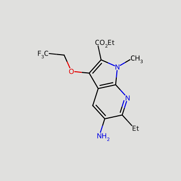 CCOC(=O)c1c(OCC(F)(F)F)c2cc(N)c(CC)nc2n1C